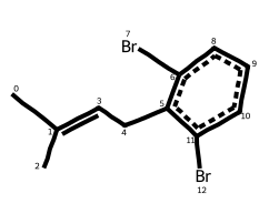 CC(C)=CCc1c(Br)cccc1Br